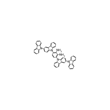 Nc1c(-n2c3ccccc3c3cc(-n4c5ccccc5c5ccccc54)ccc32)ccc(-n2c3ccccc3c3cc(-n4c5ccccc5c5ccccc54)ccc32)c1N